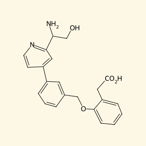 NC(CO)c1cc(-c2cccc(COc3ccccc3CC(=O)O)c2)ccn1